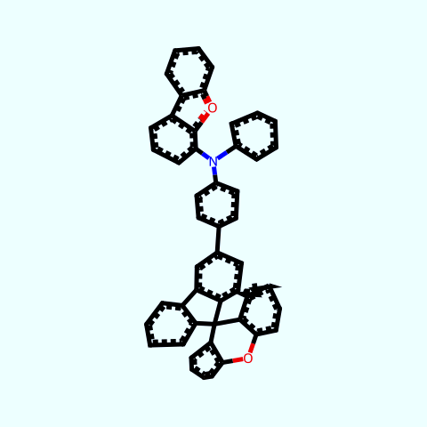 c1ccc(N(c2ccc(-c3ccc4c(c3)-c3ccccc3C43c4ccccc4Oc4ccc5ccccc5c43)cc2)c2cccc3c2oc2ccccc23)cc1